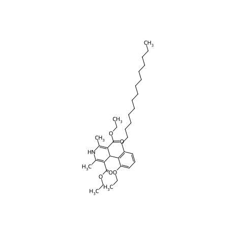 CCCCCCCCCCCCCCCc1cccc(OCC)c1C1C(C(=O)OCC)=C(C)NC(C)=C1C(=O)OCC